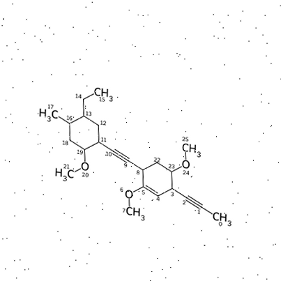 CC#CC1C=C(OC)C(C#CC2CC(CC)C(C)CC2OC)CC1OC